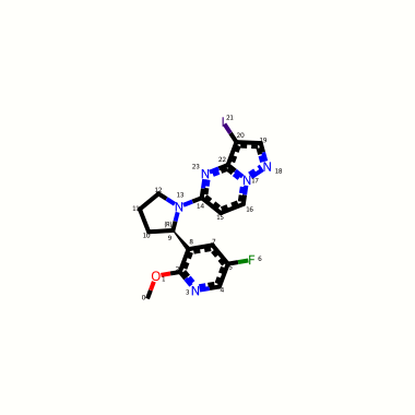 COc1ncc(F)cc1[C@H]1CCCN1c1ccn2ncc(I)c2n1